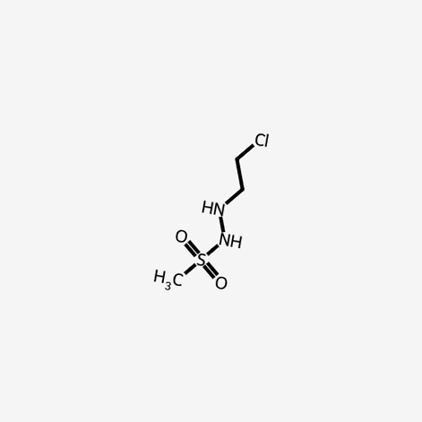 CS(=O)(=O)NNCCCl